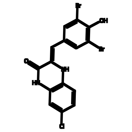 O=C1Nc2cc(Cl)ccc2N/C1=C\c1cc(Br)c(O)c(Br)c1